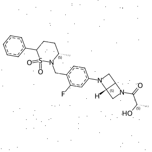 C[C@H](O)C(=O)N1C[C@H]2C1CN2c1ccc(CN2[C@@H](C)CCC(c3ccccc3)S2(=O)=O)c(F)c1